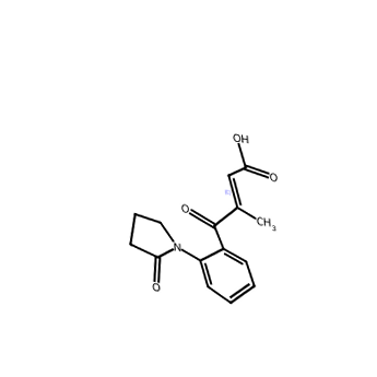 C/C(=C\C(=O)O)C(=O)c1ccccc1N1CCCC1=O